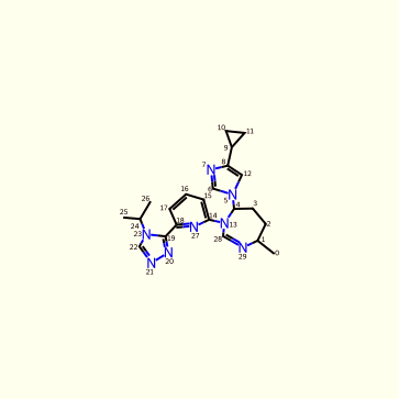 CC1CCC(n2cnc(C3CC3)c2)N(c2cccc(-c3nncn3C(C)C)n2)C=N1